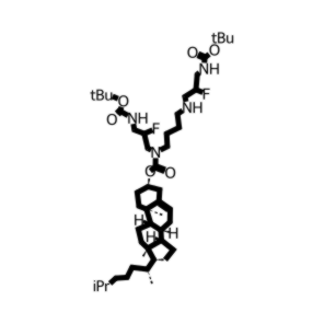 CC(C)CCC[C@@H](C)[C@H]1CC[C@H]2[C@@H]3CC=C4C[C@@H](OC(=O)N(CCCCNCC(F)CNC(=O)OC(C)(C)C)CC(F)CNC(=O)OC(C)(C)C)CC[C@]4(C)[C@H]3CC[C@]12C